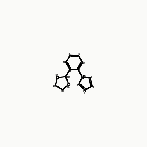 c1ccc(-n2ccnc2)c(C2OCCO2)c1